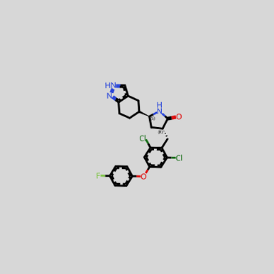 O=C1N[C@H](C2CCc3n[nH]cc3C2)C[C@H]1Cc1c(Cl)cc(Oc2ccc(F)cc2)cc1Cl